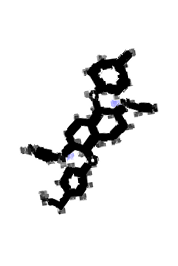 Cc1ccc(OC2=C3C=C/C(=N\C#N)C(Oc4ccc(CF)cc4)=C3C=C/C2=N\C#N)cc1